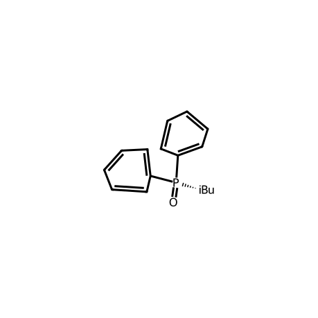 C[CH][C@@H](C)P(=O)(c1ccccc1)c1ccccc1